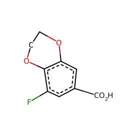 O=C(O)c1cc(F)c2c(c1)OCCO2